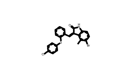 Cc1c(Br)ccc2c1C(=Cc1ccccc1Sc1ccc(Cl)cc1)C(=O)N2